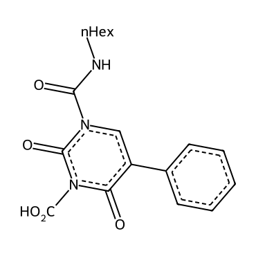 CCCCCCNC(=O)n1cc(-c2ccccc2)c(=O)n(C(=O)O)c1=O